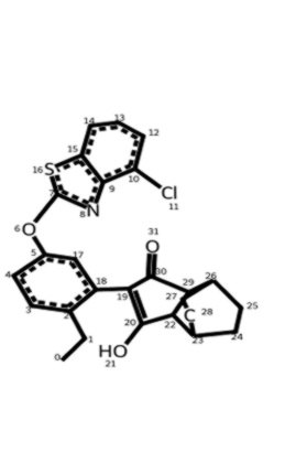 CCc1ccc(Oc2nc3c(Cl)cccc3s2)cc1C1=C(O)C2C3CCC(CC3)C2C1=O